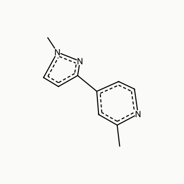 Cc1cc(-c2ccn(C)n2)ccn1